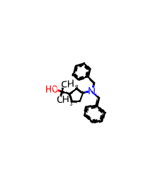 CC(C)(O)C1CCC(N(Cc2ccccc2)Cc2ccccc2)C1